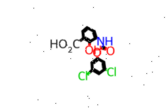 O=C(Nc1cccc(C(=O)O)c1O)Oc1cc(Cl)cc(Cl)c1